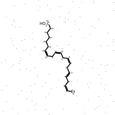 CC/C=C\C/C=C/C/C=C\C/C=C\C/C=C\CCCCCC(=O)O